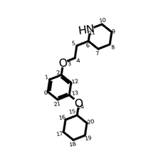 c1cc(OCCC2CCCCN2)cc(OC2CCCCC2)c1